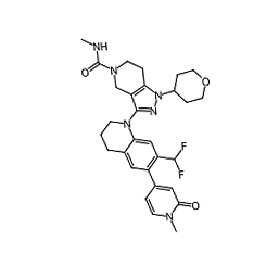 CNC(=O)N1CCc2c(c(N3CCCc4cc(-c5ccn(C)c(=O)c5)c(C(F)F)cc43)nn2C2CCOCC2)C1